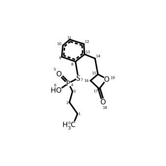 CCCCP(=O)(O)Sc1ccccc1CC1CC(=O)O1